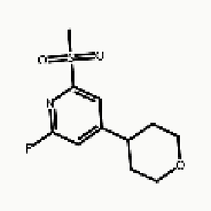 CS(=O)(=O)c1cc(C2CCOCC2)cc(F)n1